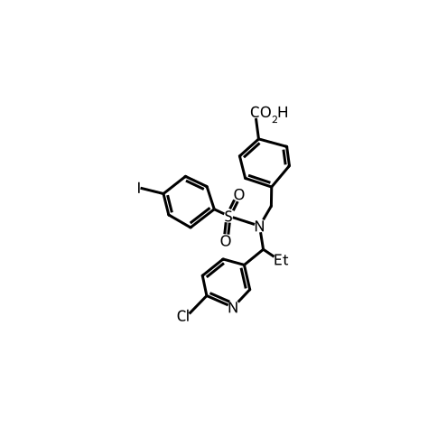 CCC(c1ccc(Cl)nc1)N(Cc1ccc(C(=O)O)cc1)S(=O)(=O)c1ccc(I)cc1